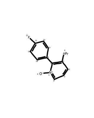 CCCc1ccc[n+]([O-])c1-c1ccc(F)cc1